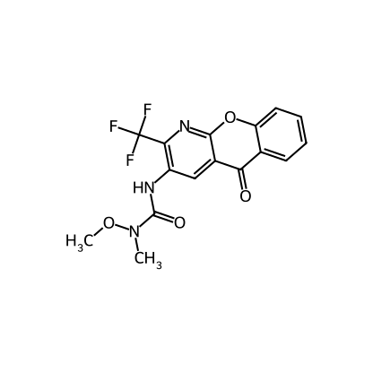 CON(C)C(=O)Nc1cc2c(=O)c3ccccc3oc2nc1C(F)(F)F